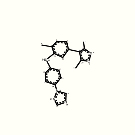 Cc1ccc(-c2c(C)noc2C)cc1Nc1ccc(-n2cncn2)cc1